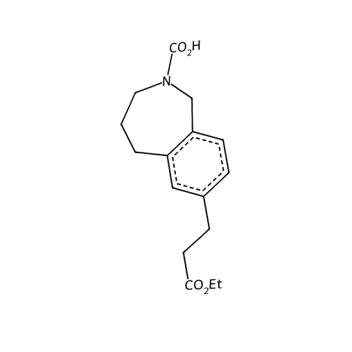 CCOC(=O)CCc1ccc2c(c1)CCCN(C(=O)O)C2